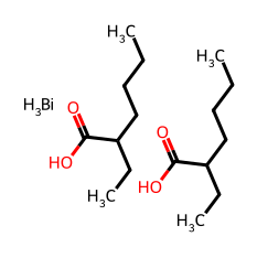 CCCCC(CC)C(=O)O.CCCCC(CC)C(=O)O.[BiH3]